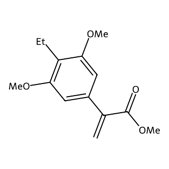 C=C(C(=O)OC)c1cc(OC)c(CC)c(OC)c1